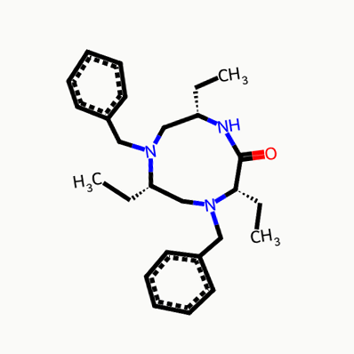 CC[C@H]1CN(Cc2ccccc2)[C@@H](CC)CN(Cc2ccccc2)[C@@H](CC)C(=O)N1